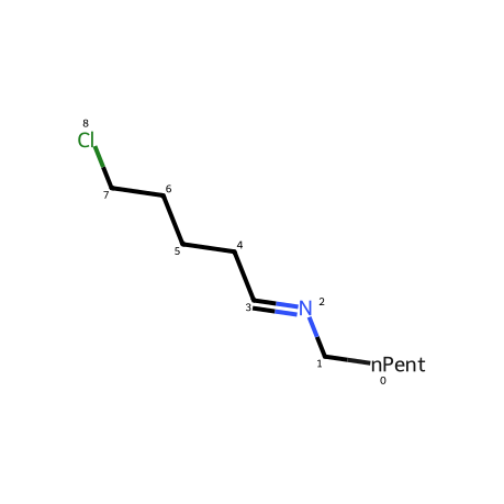 CCCCCCN=CCCCCCl